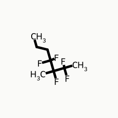 CCCC(F)(F)C(C)(F)C(C)(F)F